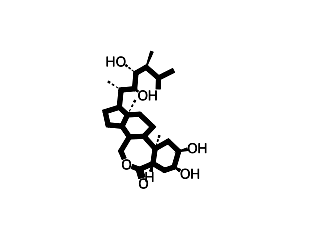 CC(C)[C@H](C)[C@@H](O)[C@H](O)[C@@H](C)C1CCC2C3COC(=O)[C@H]4C[C@H](O)[C@H](O)C[C@]4(C)C3CC[C@@]21C